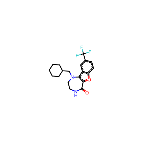 O=C1NCCN(CC2CCCCC2)c2c1oc1ccc(C(F)(F)F)cc21